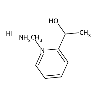 CC(O)c1cccc[n+]1C.I.N